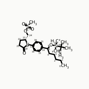 CCCCCC(O[Si](C)(C)C(C)(C)C)c1ccc(N2C(=O)CC[C@@H]2COS(C)(=O)=O)cc1